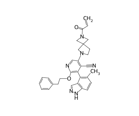 C=CC(=O)N1CC2(CCN(c3cnc(OCCc4ccccc4)c(-c4c(C)ccc5[nH]ncc45)c3C#N)C2)C1